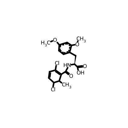 COc1ccc(C[C@H](NC(=O)C2=C(Cl)C=CC(Cl)C2C)C(=O)O)c(OC)c1